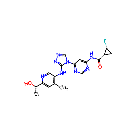 CCC(O)c1cc(C)c(Nc2nncn2-c2cc(NC(=O)[C@H]3C[C@H]3F)ncn2)cn1